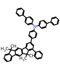 CC1(C)c2ccccc2-c2cc3c(cc21)-c1cc(-c2ccc(N(c4ccc(-c5ccccc5)cc4)c4ccc(-c5ccccc5)cc4)cc2)cc(-c2ccccc2)c1C3(C)C